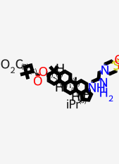 CC(C)[C@@H]1CC[C@]2(NCC(N)CN3CCS(=O)(=O)CC3)CC[C@]3(C)[C@H](CC[C@@H]4[C@@]5(C)CC[C@H](OC(=O)[C@H]6C[C@@H](C(=O)O)C6(C)C)C(C)(C)[C@@H]5CC[C@]43C)[C@@H]12